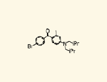 Cc1cc(N(CC(C)C)CC(C)C)ccc1C(=O)c1ccc(Br)cc1